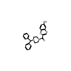 O=C(C1=COc2cc(O)ccc2O1)N1CCN(C(c2ccccc2)c2ccccc2)CC1